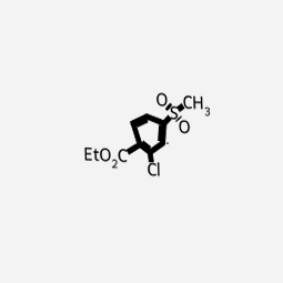 CCOC(=O)c1ccc(S(C)(=O)=O)[c]c1Cl